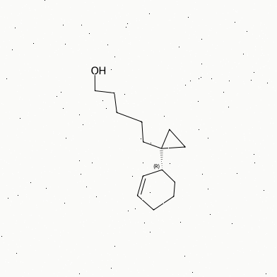 OCCCCCC1([C@H]2C=CCCC2)CC1